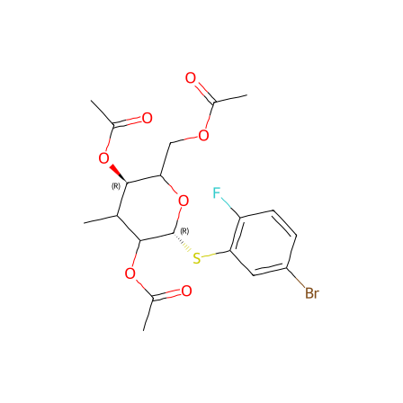 CC(=O)OCC1O[C@H](Sc2cc(Br)ccc2F)C(OC(C)=O)C(C)[C@H]1OC(C)=O